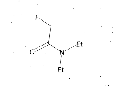 CCN(CC)C(=O)CF